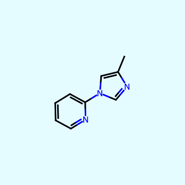 Cc1cn(-c2ccccn2)cn1